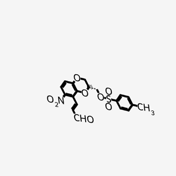 Cc1ccc(S(=O)(=O)OC[C@H]2COc3ccc([N+](=O)[O-])c(C=CC=O)c3O2)cc1